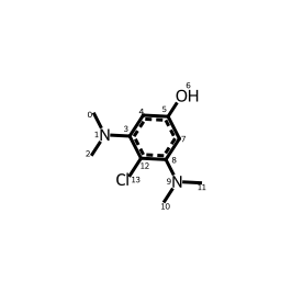 CN(C)c1cc(O)cc(N(C)C)c1Cl